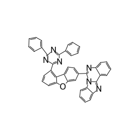 c1ccc(-c2nc(-c3ccccc3)nc(-c3cccc4oc5cc(-c6nc7ccccc7c7nc8ccccc8n67)ccc5c34)n2)cc1